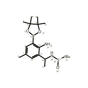 Cc1cc(B2OC(C)(C)C(C)(C)O2)c(N)c(C(C)N[S@+]([O-])C(C)(C)C)c1